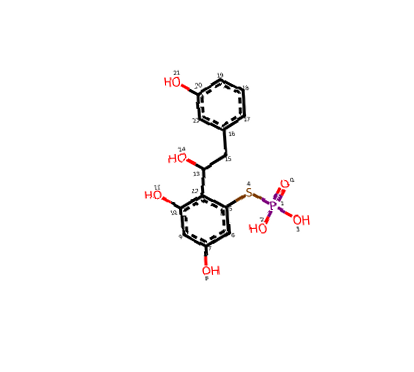 O=P(O)(O)Sc1cc(O)cc(O)c1C(O)Cc1cccc(O)c1